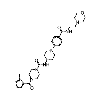 O=C(NCCN1CCOCC1)c1ccc(N2CCC(NC(=O)N3CCN(C(=O)c4ccc[nH]4)CC3)CC2)cc1